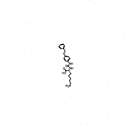 NCCCCC[C@H](NC(=O)Nc1ccc(OCc2ccccc2)cc1)C(=O)O